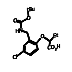 CCC(Oc1ccc(Cl)cc1CNC(=O)OC(C)(C)C)C(=O)O